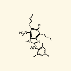 CCCCc1c(F)c(CCCC)c2nc(Nc3c(C)cc(C)cc3C)n(C)c2c1N